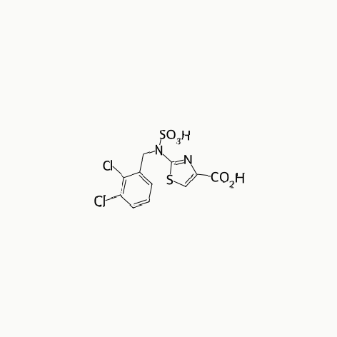 O=C(O)c1csc(N(Cc2cccc(Cl)c2Cl)S(=O)(=O)O)n1